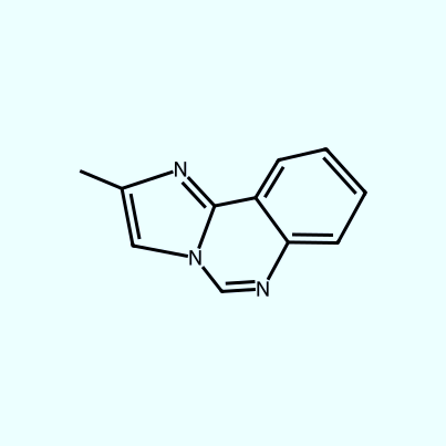 Cc1cn2cnc3ccccc3c2n1